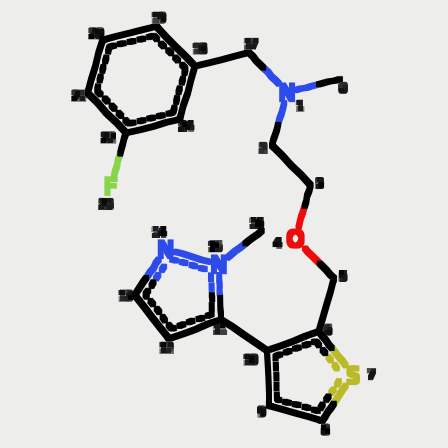 CN(CCOCc1sccc1-c1ccnn1C)Cc1cccc(F)c1